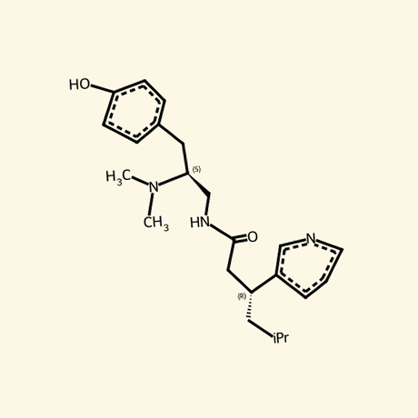 CC(C)C[C@H](CC(=O)NC[C@H](Cc1ccc(O)cc1)N(C)C)c1cccnc1